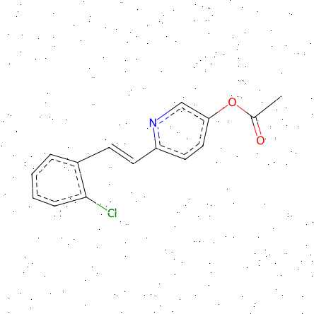 CC(=O)Oc1ccc(C=Cc2ccccc2Cl)nc1